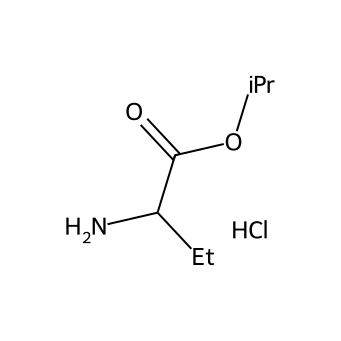 CCC(N)C(=O)OC(C)C.Cl